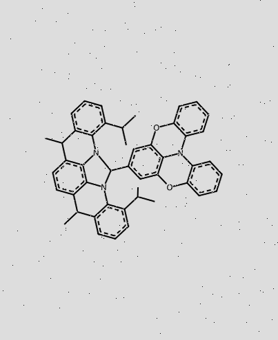 CC(C)c1cccc2c1N1c3c(ccc4c3N(c3c(C(C)C)cccc3C4C)C1c1cc3c4c(c1)Oc1ccccc1N4c1ccccc1O3)C2C